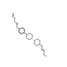 C=CCCOCc1ccc(C2CCC([C@H]3CC[C@H](C/C=C/CC)CC3)CC2)cc1